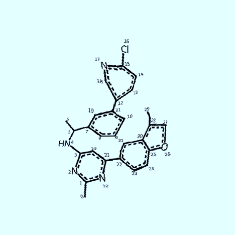 Cc1nc(NC(C)c2cccc(-c3ccc(Cl)nc3)c2)cc(-c2ccc3occ(C)c3c2)n1